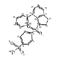 NS(=O)(=O)c1ccc(S(=O)(=O)N2CCc3cccc(-c4ccncc4)c32)cc1